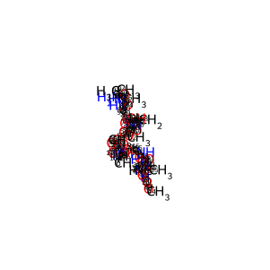 C=C1C[C@H]2[C@H](O)N(C(=O)OCc3ccc(NC(=O)CNC(=O)[C@H](CC(C)C)NC(=O)[C@@H]4CCCN4C(=O)OCCOCCOC)cc3)c3cc(OCCCOc4cc5c(cc4OC)C(=O)N4CC(=C)C[C@H]4[C@H](O)N5C(=O)OCc4ccc(NC(=O)[C@H](C)NC(=O)[C@@H](N)C(C)C)cc4)c(OC)cc3C(=O)N2C1